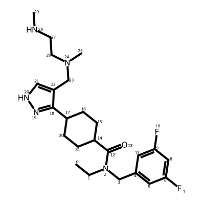 CCN(Cc1cc(F)cc(F)c1)C(=O)C1CCC(c2n[nH]cc2CN(C)CCNC)CC1